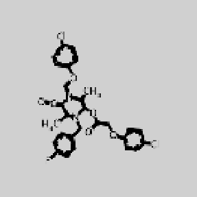 CC1C(OC(=O)COc2ccc(Cl)cc2)N(Cc2ccc(F)cc2)C(C)C(=C=O)N1COc1ccc(Cl)cc1